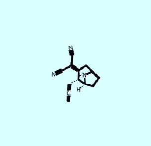 C=C=C[C@@H]1C(=C(C#N)C#N)CC2CC[C@@H]1N2